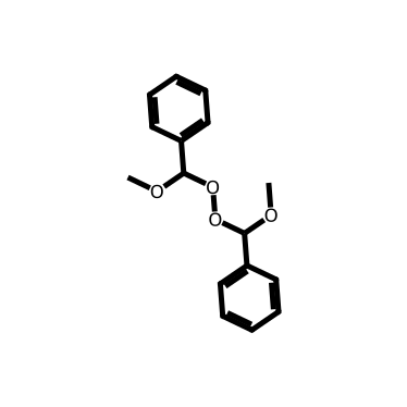 COC(OOC(OC)c1ccccc1)c1ccccc1